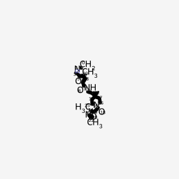 C=C/N=C\c1oc(C(=O)NCC2CC23CCN(C(=O)c2oc(C)nc2C)CC3)cc1C